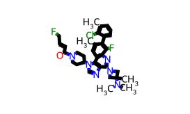 Cc1cccc(-c2c(C)cc3c(nc(N4CC(C)(N(C)C)C4)c4ncn(C5CCN(C(=O)/C=C/CF)CC5)c43)c2F)c1Cl